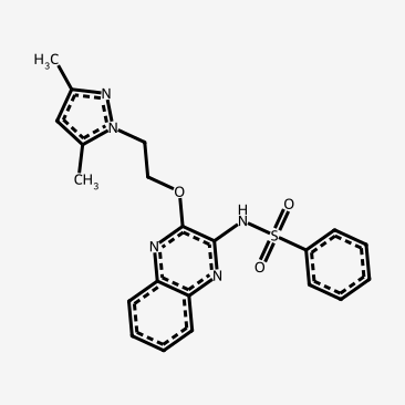 Cc1cc(C)n(CCOc2nc3ccccc3nc2NS(=O)(=O)c2ccccc2)n1